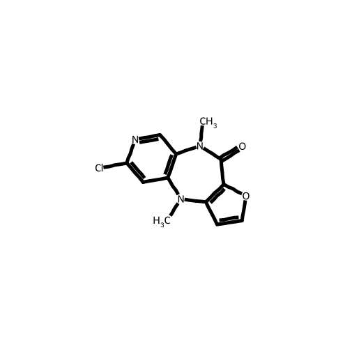 CN1C(=O)c2occc2N(C)c2cc(Cl)ncc21